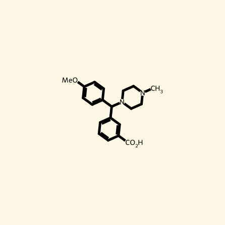 COc1ccc(C(c2cccc(C(=O)O)c2)N2CCN(C)CC2)cc1